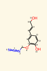 [N-]=[N+]=NCOc1cc(/C=C/CO)ccc1O